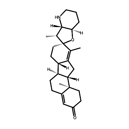 CC1=C2C[C@H]3[C@@H](CCC4=CC(=O)CC[C@@]43C)[C@@H]2CC[C@]12O[C@@H]1CCCN[C@H]1[C@H]2C